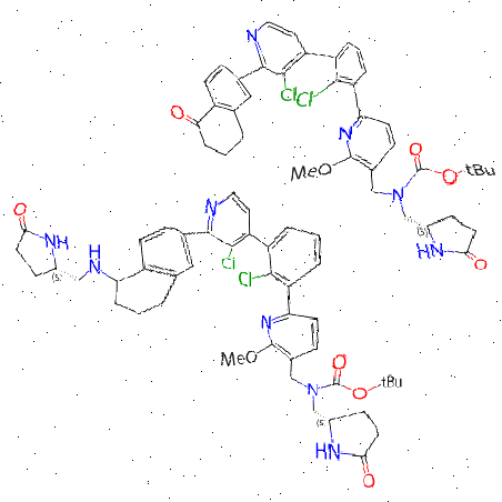 COc1nc(-c2cccc(-c3ccnc(-c4ccc5c(c4)CCCC5=O)c3Cl)c2Cl)ccc1CN(C[C@@H]1CCC(=O)N1)C(=O)OC(C)(C)C.COc1nc(-c2cccc(-c3ccnc(-c4ccc5c(c4)CCCC5NC[C@@H]4CCC(=O)N4)c3Cl)c2Cl)ccc1CN(C[C@@H]1CCC(=O)N1)C(=O)OC(C)(C)C